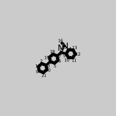 c1ccc(-c2ccc(C3c4ccccc4N4C[N@]34)cc2)cc1